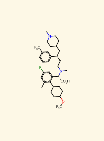 Cc1cc(F)cc([C@@H](C(=O)O)N(C)CC[C@H](CC2CCN(C)CC2)c2cccc(C(F)(F)F)c2)c1C1CCC(OC(F)(F)F)CC1